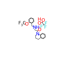 O=C(CNCc1ccccc1OC(F)(F)F)N1CCCc2ccccc21.O=C(O)C(F)(F)F